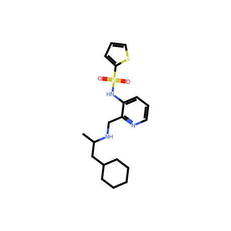 CC(CC1CCCCC1)NCc1ncccc1NS(=O)(=O)c1cccs1